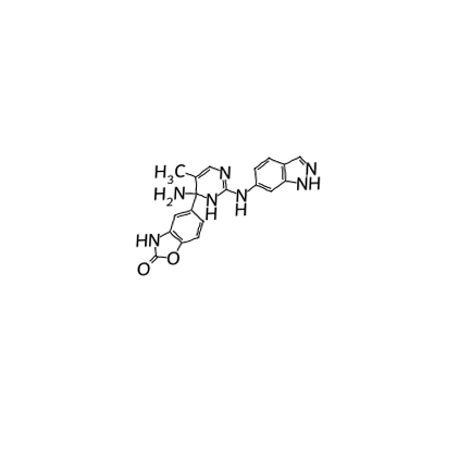 CC1=CN=C(Nc2ccc3cn[nH]c3c2)NC1(N)c1ccc2oc(=O)[nH]c2c1